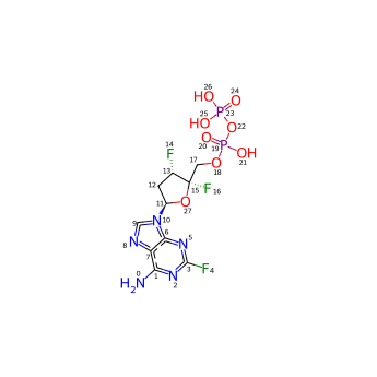 Nc1nc(F)nc2c1ncn2[C@H]1C[C@H](F)[C@@](F)(COP(=O)(O)OP(=O)(O)O)O1